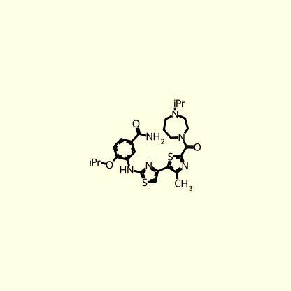 Cc1nc(C(=O)N2CCCN(C(C)C)CC2)sc1-c1csc(Nc2cc(C(N)=O)ccc2OC(C)C)n1